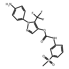 CS(=O)(=O)c1cccc(NC(=O)Oc2cnn(-c3ccc(N)cc3)c2C(F)(F)F)c1